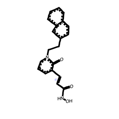 O=C(/C=C/c1cccn(CCc2ccc3ccccc3c2)c1=O)NO